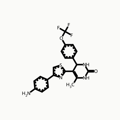 CC1=C(c2nc(-c3ccc(N)cc3)cs2)C(c2ccc(OC(F)(F)F)cc2)NC(=O)N1